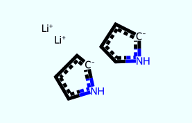 [Li+].[Li+].[c-]1ccc[nH]1.[c-]1ccc[nH]1